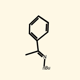 CCCCN=C(C)c1ccccc1